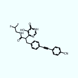 N#Cc1ccc(C#Cc2ccc(CC(C(=O)NCC(F)F)c3nc[nH]c(=O)c3O)cc2)cc1